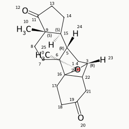 C[C@H]1O[C@@H]2C[C@@H]3C(CC[C@]4(C)C(=O)CC[C@@H]34)C13CCC(=O)CC23